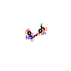 CCCc1c(OCCCCN2C(=O)NC(CC)(c3ccc4c(c3)OCO4)C2=O)ccc2c(CF)cc(=O)oc12